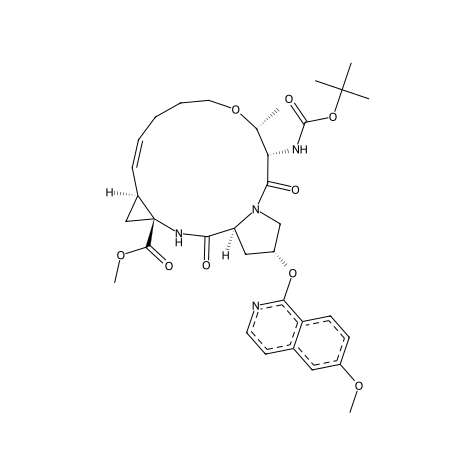 COC(=O)[C@@]12C[C@H]1/C=C\CCCO[C@H](C)[C@H](NC(=O)OC(C)(C)C)C(=O)N1C[C@H](Oc3nccc4cc(OC)ccc34)C[C@H]1C(=O)N2